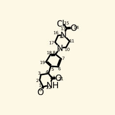 O=C1CCC(c2ccc(N3CCN(C(=O)Cl)CC3)cc2)C(=O)N1